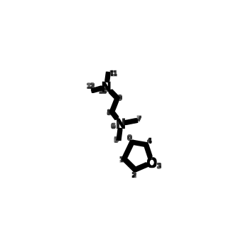 C1CCOC1.CN(C)CCN(C)C